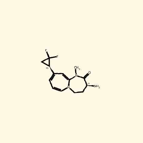 CN1C(=O)[C@@H](N)CCN2C=CC=C([C@H]3CC3(F)F)C=C21